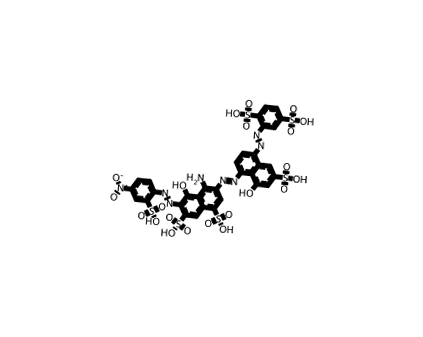 Nc1c(N=Nc2ccc(N=Nc3cc(S(=O)(=O)O)ccc3S(=O)(=O)O)c3cc(S(=O)(=O)O)cc(O)c23)cc(S(=O)(=O)O)c2cc(S(=O)(=O)O)c(N=Nc3ccc([N+](=O)[O-])cc3S(=O)(=O)O)c(O)c12